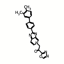 Cc1ccc(-c2ccc(-c3nc4ccn(CC(=O)c5nnco5)cc-4n3)cc2)cc1C